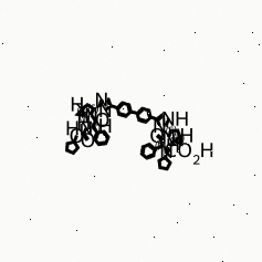 O=C(N[C@@H](C(=O)N1[C@@H]2C[C@@H]2C[C@H]1c1ncc(-c2ccc(-c3ccc(-c4c[nH]c([C@@H]5C[C@H]6C[C@H]6N5C(=O)[C@@H](c5ccccc5)N(C(=O)O)C5CCCC5)n4)cc3)cc2)[nH]1)c1ccccc1)OC1CCCC1